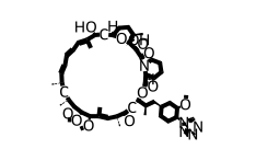 CO[C@@H]1/C(C)=C/[C@@H](C)C(=O)C[C@@H]([C@H](C)C[C@@H]2CC[C@H](n3cnnn3)[C@H](OC)C2)OC(=O)[C@@H]2CCCCN2C(=O)C(=O)[C@]2(O)O[C@@H](CC[C@H]2C)C[C@H](O)/C(C)=C/C=C/C=C/[C@@H](C)C[C@@H](C)C(=O)[C@@H]1OC